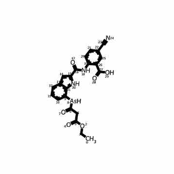 CCOC(=O)CC(=O)[AsH]c1cccc2cc(C(=O)Nc3ccc(C#N)cc3C(=O)O)[nH]c12